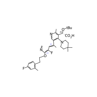 C=N/C(OCCc1ccc(F)cc1C)=C(F)\C=C(/C)c1cnc(C)c([C@H](OC(C)(C)C)C(=O)O)c1N1CCC(C)(C)CC1